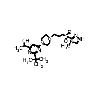 CC(C)c1cc(N2CCN(CCCS(=O)(=O)C3=NNCN3C)CC2)nc(C(C)(C)C)n1